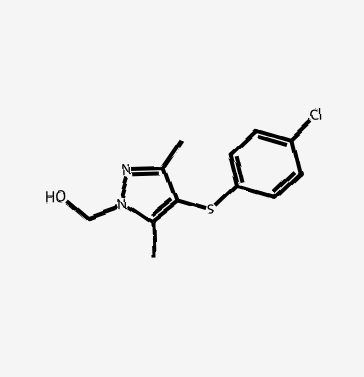 Cc1nn(CO)c(C)c1Sc1ccc(Cl)cc1